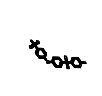 Cc1ccc(S(=O)(=O)c2ccc(Oc3ccc(S(C)(=O)=O)cc3)cc2)cc1